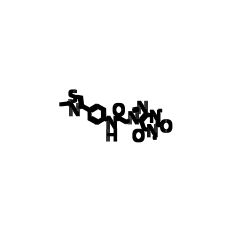 Cc1nc(-c2ccc(NC(=O)Cn3cnc4c3c(=O)n(C)c(=O)n4C)cc2)cs1